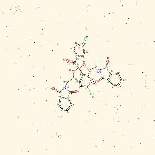 O=C1c2ccccc2C(=O)N1CCOC(OCCN1C(=O)c2ccccc2C1=O)(C(=O)c1ccc(Cl)cc1)c1ccc(Cl)cc1